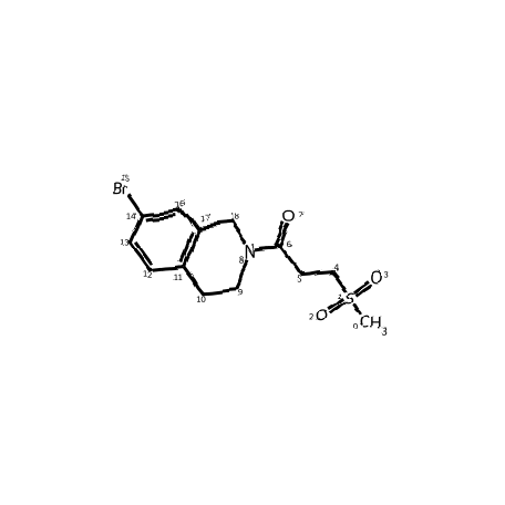 CS(=O)(=O)CCC(=O)N1CCc2ccc(Br)cc2C1